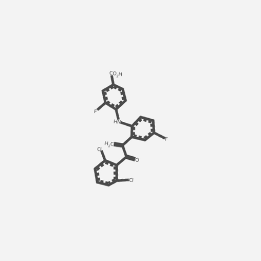 C=C(C(=O)c1c(Cl)cccc1Cl)c1cc(F)ccc1Nc1ccc(C(=O)O)cc1F